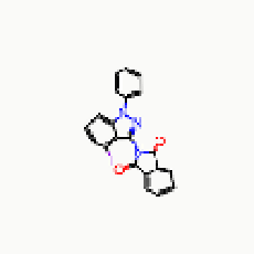 O=C1c2ccccc2C(=O)N1c1nn(-c2ccccc2)c2cccc(I)c12